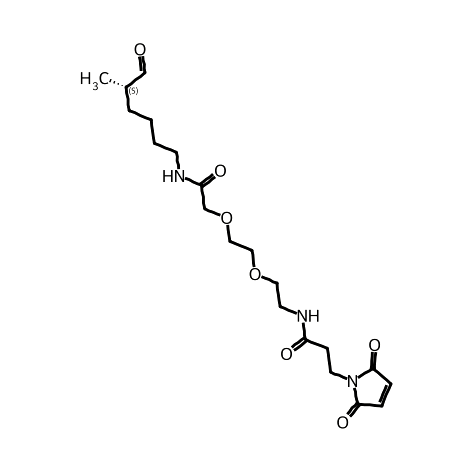 C[C@H](C=O)CCCCNC(=O)COCCOCCNC(=O)CCN1C(=O)C=CC1=O